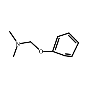 CN(C)COc1ccccc1